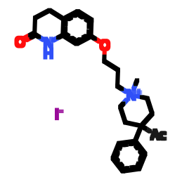 CC(=O)C1(c2ccccc2)CC[N+](C)(CCCOc2ccc3c(c2)NC(=O)CC3)CC1.[I-]